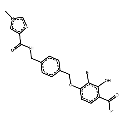 CC(C)C(=O)c1ccc(OCc2ccc(CNC(=O)c3cn(C)cn3)cc2)c(Br)c1O